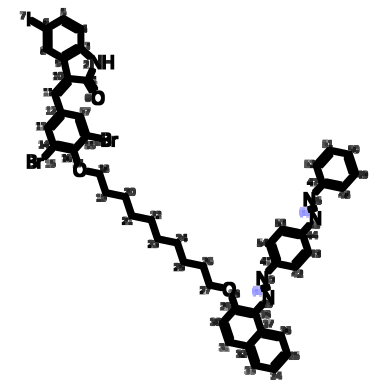 O=C1Nc2ccc(I)cc2C1=Cc1cc(Br)c(OCCCCCCCCCCOc2ccc3ccccc3c2/N=N/c2ccc(/N=N/c3ccccc3)cc2)c(Br)c1